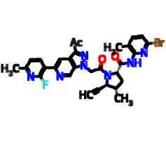 C#C[C@@H]1[C@@H](C)C[C@@H](C(=O)Nc2nc(Br)ccc2C)N1C(=O)Cn1nc(C(C)=O)c2cc(-c3ccc(C)nc3F)ncc21